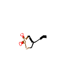 C#CC1=CS(=O)(=O)SC1